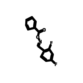 O=C(ON=Cc1ccc(F)cc1F)c1ccccc1